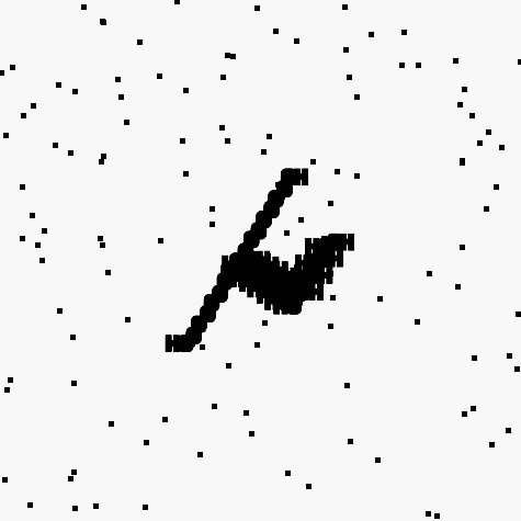 OCC(O)CO.OCC(O)CO.OCC(O)CO.OCC(O)CO.OCC(O)CO.OCC(O)CO.OCC(O)CO.OCC(O)CO.OCC(O)CO.OCC(O)CO.OCCOCCOCCOCCOCCOCCOCCOCCOCCOCCOCCOCCOCCOCCOCCOCCO